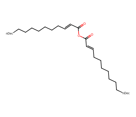 CCCCCCCCCCCCCCCCCC=CC(=O)OC(=O)C=CCCCCCCCCCCCCCCCCC